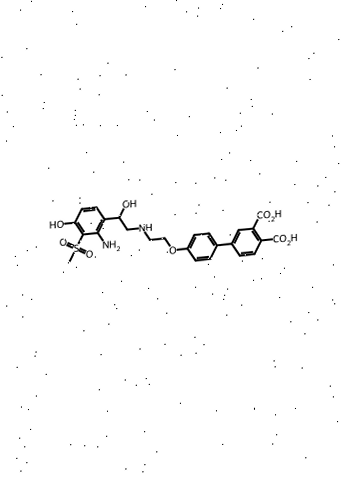 CS(=O)(=O)c1c(O)ccc(C(O)CNCCOc2ccc(-c3ccc(C(=O)O)c(C(=O)O)c3)cc2)c1N